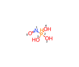 O=N[PH](O)(O)O